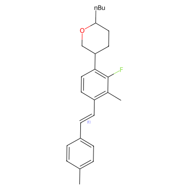 CCCCC1CCC(c2ccc(/C=C/c3ccc(C)cc3)c(C)c2F)CO1